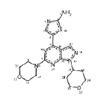 Nc1ncc(-c2nc(N3CCOCC3)nc3c2cnn3C2CCOCC2)s1